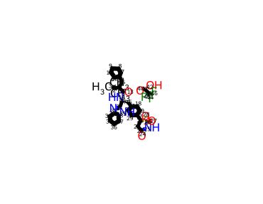 CC(C)(C)C(Cc1ccccc1)C(=O)N[C@@H](Cc1ccc(C2CC(=O)NS2(=O)=O)cc1)c1nc2ccccc2[nH]1.O=C(O)C(F)(F)F